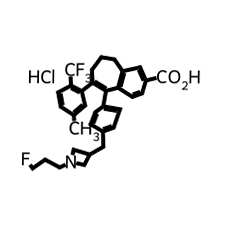 Cc1ccc(C(F)(F)F)c(C2=C(c3ccc(CC4CN(CCCF)C4)cc3)c3ccc(C(=O)O)cc3CCC2)c1.Cl